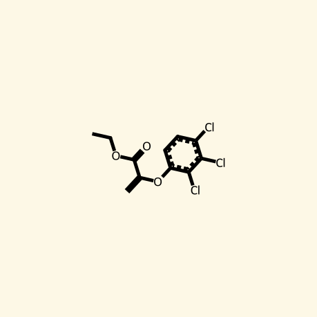 C=C(Oc1ccc(Cl)c(Cl)c1Cl)C(=O)OCC